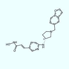 O=C(C=Cc1ccc(N[C@@H]2CCN(Cc3ccc4occc4c3)C2)nc1)NO